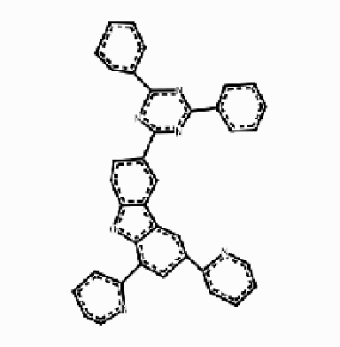 c1ccc(-c2nc(-c3ccccc3)nc(-c3ccc4oc5c(-c6ccccn6)cc(-c6ccccn6)cc5c4c3)n2)cc1